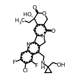 CC[C@@]1(O)C(=O)OCc2c1cc1n(c2=O)Cc2c-1nc1cc(F)c(Cl)c(F)c1c2CNC1(CO)CC1